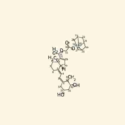 C=C1/C(=C\C=C2/CCC[C@]3(C)C(C(C)OCC(=O)OC45CC6CC(CC(C6)C4)C5)=CC[C@@H]23)C[C@@H](O)C[C@@H]1O